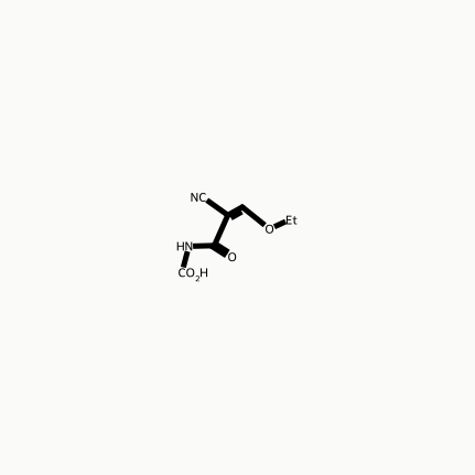 CCOC=C(C#N)C(=O)NC(=O)O